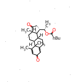 CCCCC(=O)O[C@@H](C)[C@H]1CC(=O)[C@@]2(C)CC[C@H]3[C@@H](CCC4=CC(=O)C=C(C)[C@@]43C)[C@H]12